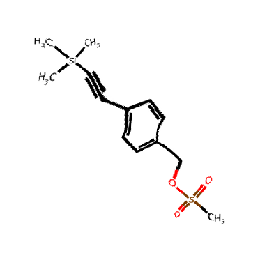 C[Si](C)(C)C#Cc1ccc(COS(C)(=O)=O)cc1